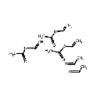 C=COC(C)=O.C=COC(C)=O.C=COC(C)=O.CC=O.CC=O